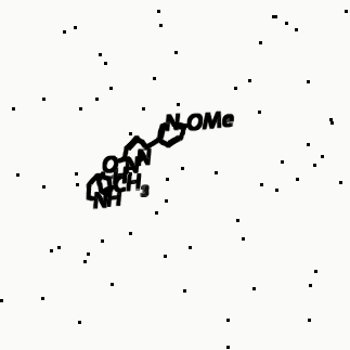 COc1ccc(-c2ccc(O[C@@H]3C4CCN(CC4)[C@H]3C)nn2)cn1